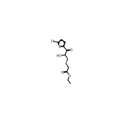 CCOC(=O)CCCC(O)C(=O)c1ccc(Cl)s1